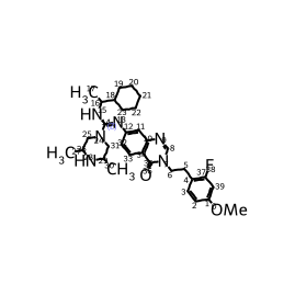 COc1ccc(CCn2cnc3cc(/N=C(/NC(C)C4CCCCC4)N4CC(C)NC(C)C4)ccc3c2=O)c(F)c1